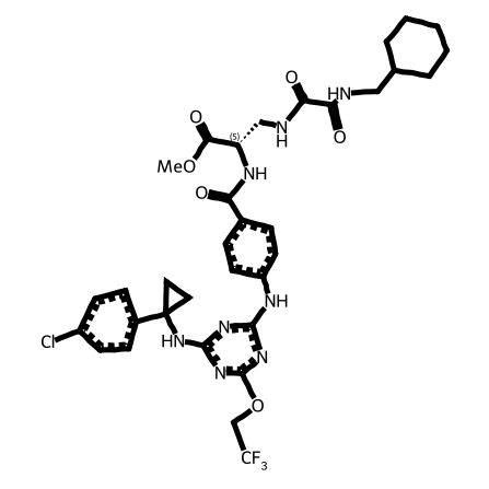 COC(=O)[C@H](CNC(=O)C(=O)NCC1CCCCC1)NC(=O)c1ccc(Nc2nc(NC3(c4ccc(Cl)cc4)CC3)nc(OCC(F)(F)F)n2)cc1